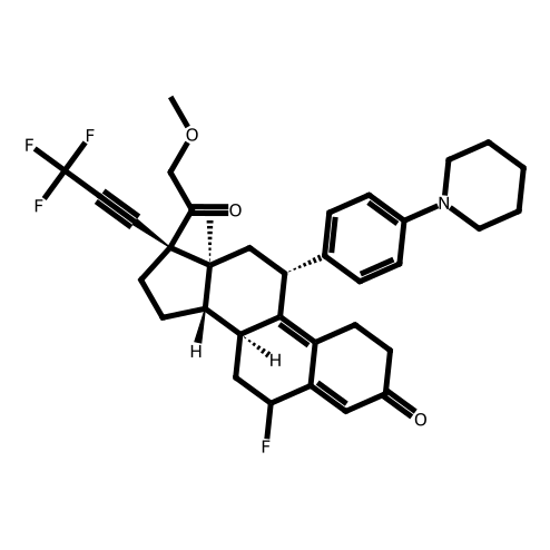 COCC(=O)[C@@]1(C#CC(F)(F)F)CC[C@H]2[C@@H]3CC(F)C4=CC(=O)CCC4=C3[C@@H](c3ccc(N4CCCCC4)cc3)C[C@@]21C